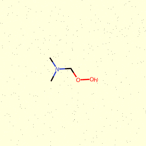 CN(C)COO